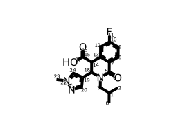 CC(C)CN1C(=O)c2ccc(F)cc2C(C(=O)O)C1c1cnn(C)c1